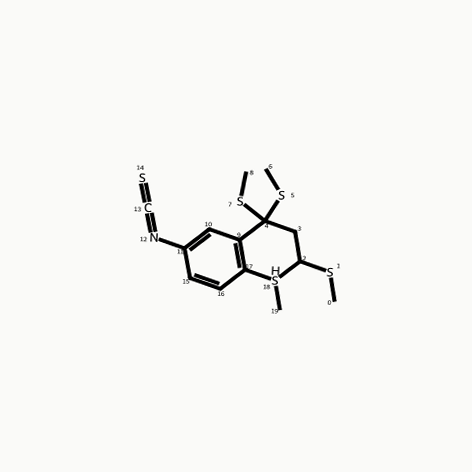 CSC1CC(SC)(SC)c2cc(N=C=S)ccc2[SH]1C